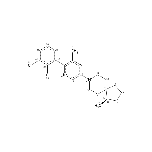 Cc1nc(N2CCC3(CCC[C@H]3C)CC2)cnc1-c1cccc(Cl)c1Cl